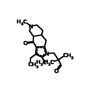 CCc1c2c(n(CC(C)(C)C=O)c1C)CC1CCN(C)CC1C2=O